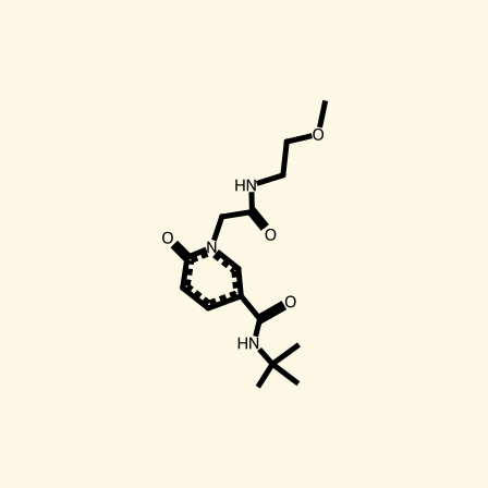 COCCNC(=O)Cn1cc(C(=O)NC(C)(C)C)ccc1=O